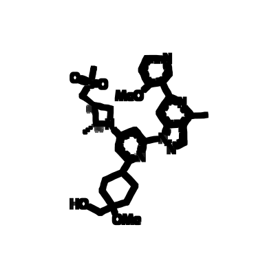 COc1ccncc1-c1cc2c(cnn2-c2cc(N3C[C@H](CS(C)(=O)=O)[C@H]3C)cc(C3CCC(CO)(OC)CC3)n2)c(C)n1